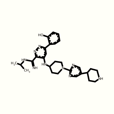 CC(C)NC(=N)c1nnc(-c2ccccc2O)cc1NC1CCN(c2ncc(C3CCNCC3)cn2)CC1